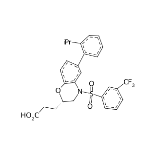 CC(C)c1ccccc1-c1ccc2c(c1)N(S(=O)(=O)c1cccc(C(F)(F)F)c1)C[C@H](CCC(=O)O)O2